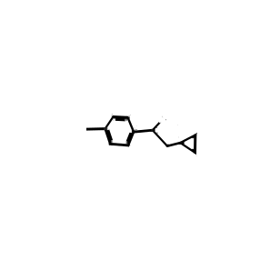 NC(CC1CC1)c1ccc(F)cc1